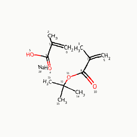 C=C(C)C(=O)O.C=C(C)C(=O)OC(C)(C)C.[NaH]